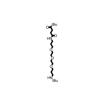 CC(C)(C)NCCCOCCOCCOCCCNC(=O)CCC(=O)C(C)(C)C